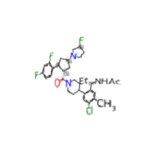 CC[C@H](NC(C)=O)c1cc(C)c(Cl)cc1C1CCN(C(=O)[C@H]2C[C@@H](N3CC[C@H](F)C3)C[C@@H]2c2ccc(F)cc2F)CC1